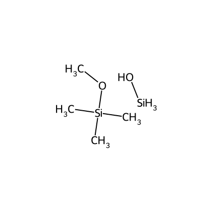 CO[Si](C)(C)C.O[SiH3]